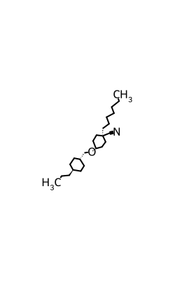 CCCCCCC[C@]1(C#N)CC[C@H](OC[C@H]2CC[C@H](CCC)CC2)CC1